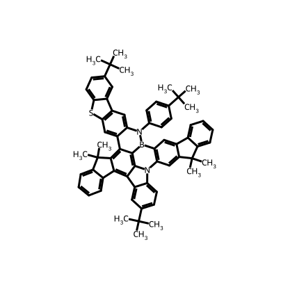 CC(C)(C)c1ccc(N2B3c4cc5c(cc4-n4c6ccc(C(C)(C)C)cc6c6c7c(c(c3c64)-c3cc4sc6ccc(C(C)(C)C)cc6c4cc32)C(C)(C)c2ccccc2-7)C(C)(C)c2ccccc2-5)cc1